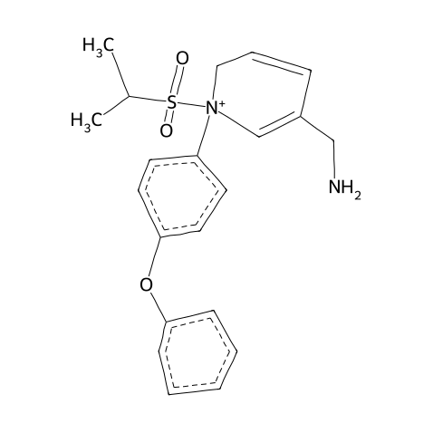 CC(C)S(=O)(=O)[N+]1(c2ccc(Oc3ccccc3)cc2)C=C(CN)C=CC1